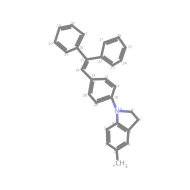 Cc1ccc2c(c1)CCN2c1ccc(C=C(c2ccccc2)c2ccccc2)cc1